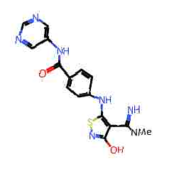 CNC(=N)c1c(O)nsc1Nc1ccc(C(=O)Nc2cncnc2)cc1